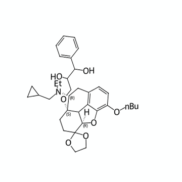 CCCCOc1ccc2c3c1O[C@@H]1C3[C@@](OCC(O)C(O)c3ccccc3)(CCC13OCCO3)[C@H](N(CC)CC1CC1)C2